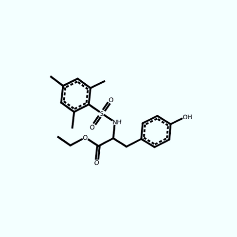 CCOC(=O)C(Cc1ccc(O)cc1)NS(=O)(=O)c1c(C)cc(C)cc1C